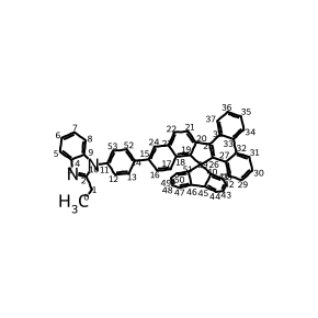 CCc1nc2ccccc2n1-c1ccc(-c2ccc3c4c(ccc3c2)-c2c(c3ccccc3c3ccccc23)C42c3ccccc3-c3ccccc32)cc1